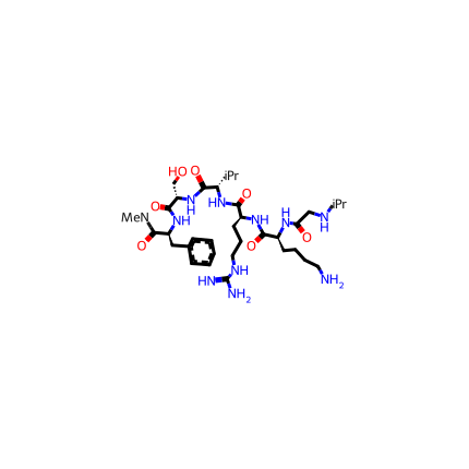 CNC(=O)[C@H](Cc1ccccc1)NC(=O)[C@H](CO)NC(=O)[C@@H](NC(=O)[C@H](CCCNC(=N)N)NC(=O)[C@H](CCCCN)NC(=O)CNC(C)C)C(C)C